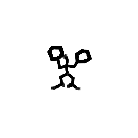 NCC(Cc1ccccc1)(Cc1ccccc1)N(CC(=O)O)CC(=O)O